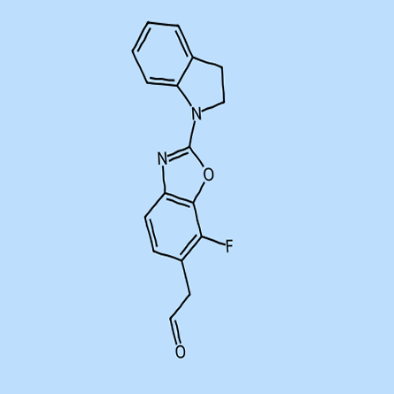 O=CCc1ccc2nc(N3CCc4ccccc43)oc2c1F